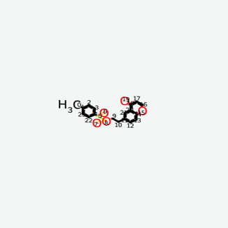 Cc1ccc(S(=O)(=O)OCCc2ccc3occc(=O)c3c2)cc1